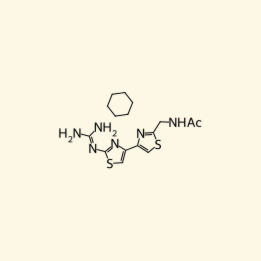 C1CCCCC1.CC(=O)NCc1nc(-c2csc(N=C(N)N)n2)cs1